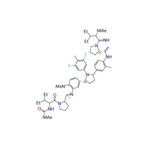 C=C(Nc1ccc(C2CC[C@H](c3ccc(NC)c(/N=C/C4CCCN4C(=O)C(NC(=O)NC)C(CC)CC)c3)N2c2cc(F)c(C)c(F)c2)cc1C)[C@@H]1CCCN1C(=N)C(NC)C(CC)CC